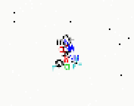 CC(C)(Oc1ccc(F)cc1Cl)C(=O)N[C@H]1C[C@H]2CC[C@@H](C1)N2c1ccc(C(=O)NCC(F)(F)F)cn1